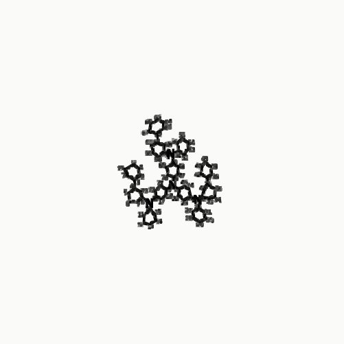 c1ccc(-c2cccc(N(c3ccccc3)c3ccc(N(c4ccc(N(c5ccccc5)c5cccc(-c6ccccc6)c5)cc4)c4ccc(N(c5ccccc5)c5cccc(-c6ccccc6)c5)cc4)cc3)c2)cc1